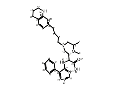 COC(C)CN(CCCCc1ccc2c(n1)NCCC2)CCC(Nc1ncncc1-c1ccccc1)C(=O)O